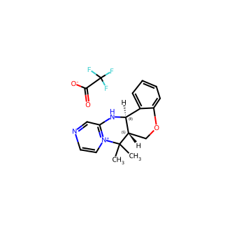 CC1(C)[C@H]2COc3ccccc3[C@@H]2Nc2cncc[n+]21.O=C([O-])C(F)(F)F